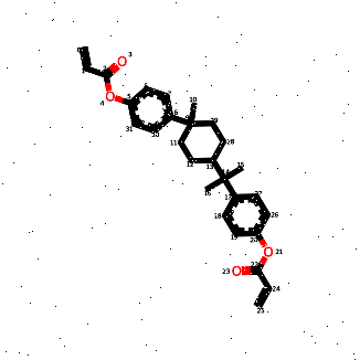 C=CC(=O)Oc1ccc(C2(C)CCC(C(C)(C)c3ccc(OC(=O)C=C)cc3)CC2)cc1